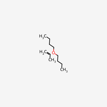 C=CC.CCCCOCCCC